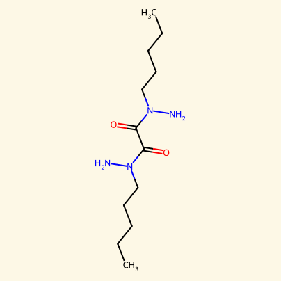 CCCCCN(N)C(=O)C(=O)N(N)CCCCC